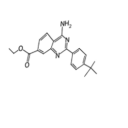 CCOC(=O)c1ccc2c(N)nc(-c3ccc(C(C)(C)C)cc3)nc2c1